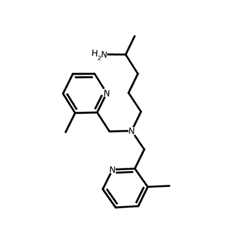 Cc1cccnc1CN(CCCC(C)N)Cc1ncccc1C